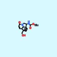 CC(C)(C)OC(=O)NC1CN2C(=O)C=CC3C(CO)=CC=C1[C@@H]32